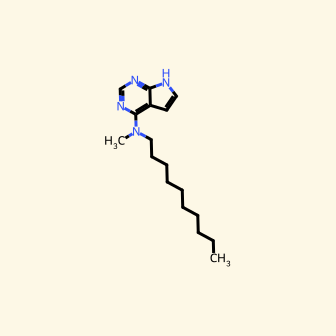 CCCCCCCCCCN(C)c1ncnc2[nH]ccc12